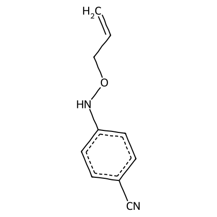 C=CCONc1ccc(C#N)cc1